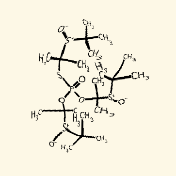 CC(C)(C)[S+]([O-])C(C)(C)OP(=O)(OC(C)(C)[S+]([O-])C(C)(C)C)SC(C)(C)[S+]([O-])C(C)(C)C